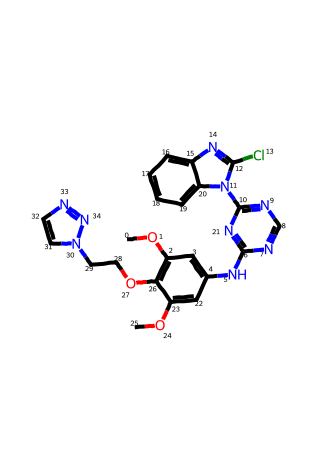 COc1cc(Nc2ncnc(-n3c(Cl)nc4ccccc43)n2)cc(OC)c1OCCn1ccnn1